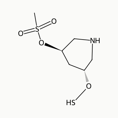 CS(=O)(=O)O[C@H]1CNC[C@H](OS)C1